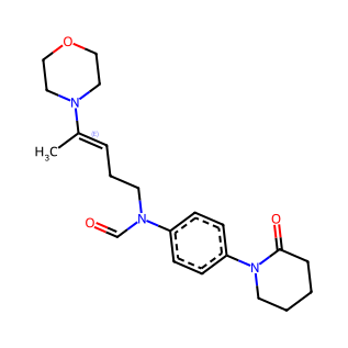 C/C(=C\CCN(C=O)c1ccc(N2CCCCC2=O)cc1)N1CCOCC1